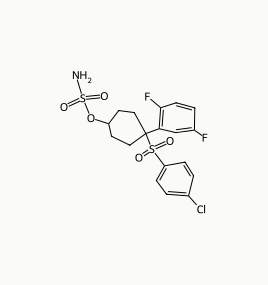 NS(=O)(=O)OC1CCC(c2cc(F)ccc2F)(S(=O)(=O)c2ccc(Cl)cc2)CC1